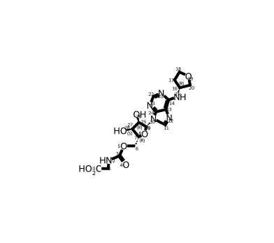 O=C(O)CNC(=O)OC[C@H]1O[C@@H](n2cnc3c(N[C@@H]4CCOC4)ncnc32)[C@H](O)[C@@H]1O